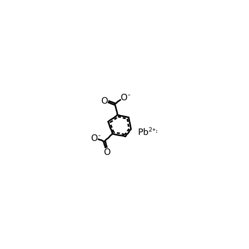 O=C([O-])c1cccc(C(=O)[O-])c1.[Pb+2]